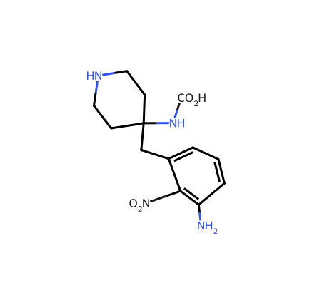 Nc1cccc(CC2(NC(=O)O)CCNCC2)c1[N+](=O)[O-]